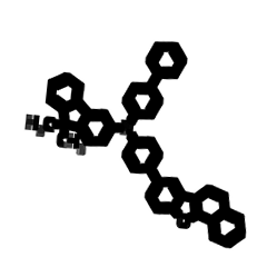 CC1(C)c2ccccc2-c2cc(N(c3ccc(-c4ccccc4)cc3)c3ccc(-c4ccc5oc6c7ccccc7ccc6c5c4)cc3)ccc21